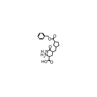 NC(=O)C(CC1CCC(C(=O)OCc2ccccc2)C1)CC(N)C(=O)O